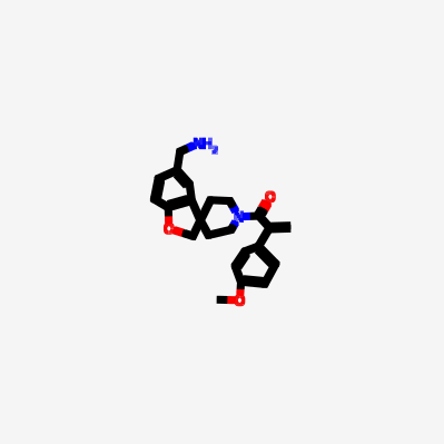 C=C(C(=O)N1CCC2(CC1)COc1ccc(CN)cc12)c1ccc(OC)cc1